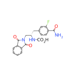 NC(=O)c1ccc(C[C@@H](CN2C(=O)c3ccccc3C2=O)NC(=O)O)cc1F